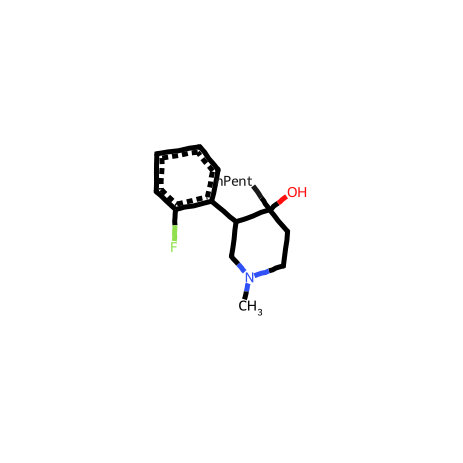 CCCCCC1(O)CCN(C)CC1c1ccccc1F